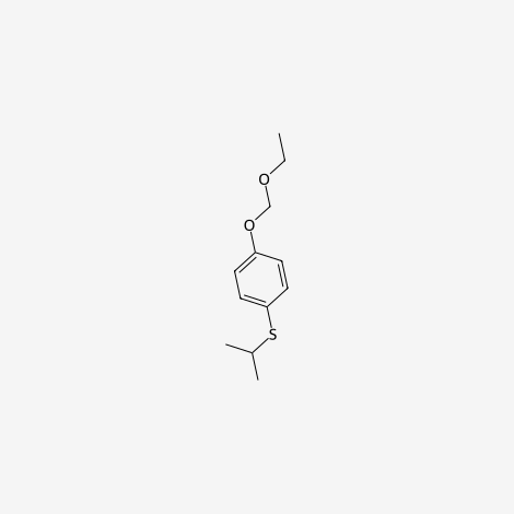 CCOCOc1ccc(SC(C)C)cc1